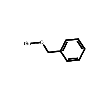 [CH2]C(C)(C)OCc1ccccc1